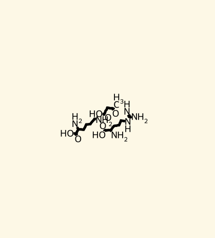 CC(=O)CC(=O)O.N=C(N)NCCCC(N)C(=O)O.NCCCCC(N)C(=O)O